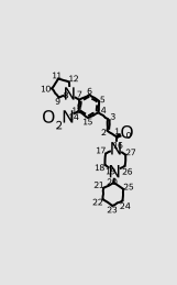 O=C(C=Cc1ccc(N2CCCC2)c([N+](=O)[O-])c1)N1CCN(C2CCCCC2)CC1